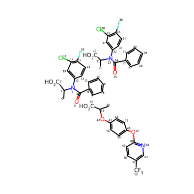 CC(C(=O)O)N(C(=O)c1ccccc1)c1ccc(F)c(Cl)c1.CC(C(=O)O)N(C(=O)c1ccccc1)c1ccc(F)c(Cl)c1.CC(Oc1ccc(Oc2ccc(C(F)(F)F)cn2)cc1)C(=O)O